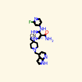 N#CCC1(N/C=C(\C(=N)Nc2ccnc(F)c2)C(N)=O)CCN(Cc2ccnc3[nH]ccc23)CC1